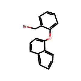 BrCc1ccccc1Oc1cccc2ccccc12